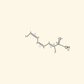 C\C=C/C=C\C=C(/C)C(=O)O